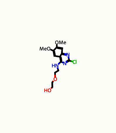 COc1cc2nc(Cl)nc(NCCOCCO)c2cc1OC